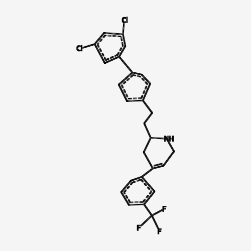 FC(F)(F)c1cccc(C2=CCNC(CCc3ccc(-c4cc(Cl)cc(Cl)c4)cc3)C2)c1